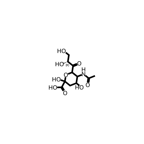 CC(=O)NC1C(O)CC(O)(C(=O)O)OC1C(=O)[C@H](O)CO